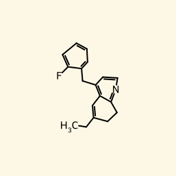 CCC1=Cc2c(Cc3ccccc3F)ccnc2CC1